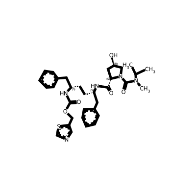 CC(C)N(C)C(=O)N1C[C@H](O)C[C@H]1C(=O)N[C@@H](CC[C@@H](Cc1ccccc1)NC(=O)OCc1cncs1)Cc1ccccc1